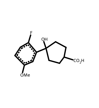 COc1ccc(F)c(C2(O)CCC(C(=O)O)CC2)c1